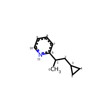 CC(CC1CC1)c1ccccn1